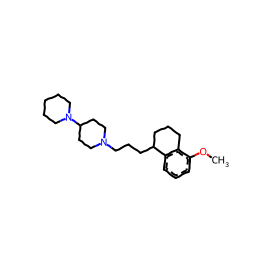 COc1cccc2c1CCCC2CCCN1CCC(N2CCCCC2)CC1